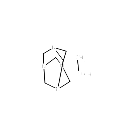 C1N2CN3CN1CN(C2)C3.CS(=O)(=O)O